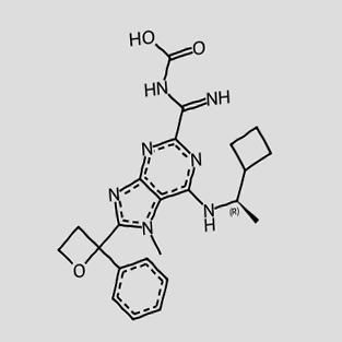 C[C@@H](Nc1nc(C(=N)NC(=O)O)nc2nc(C3(c4ccccc4)CCO3)n(C)c12)C1CCC1